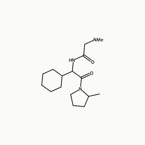 CNCC(=O)NC(C(=O)N1CCCC1C)C1CCCCC1